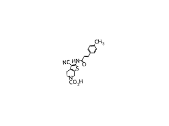 Cc1ccc(C=CC(=O)Nc2sc3c(c2C#N)CCN(C(=O)O)C3)cc1